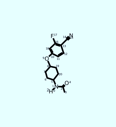 [2H]N(C(C)=O)C1CCC(Oc2ccc(C#N)c(F)c2)CC1